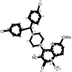 COc1ccc2c(n1)c(N1CCN(C(c3ccc(Cl)cc3)c3ccc(Cl)cc3)CC1)c(C#N)c(=O)n2C